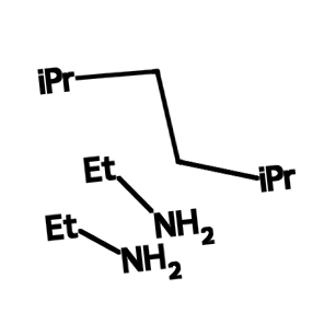 CC(C)CCC(C)C.CCN.CCN